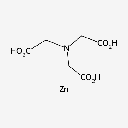 O=C(O)CN(CC(=O)O)CC(=O)O.[Zn]